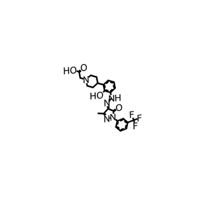 CC1=NN(c2cccc(C(F)(F)F)c2)C(=O)C1=NNc1cccc(C2CCN(CC(=O)O)CC2)c1O